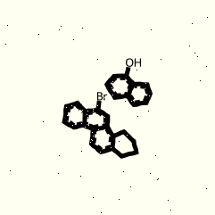 Brc1cc2c3c(ccc2c2ccccc12)CCCC3.Oc1cccc2ccccc12